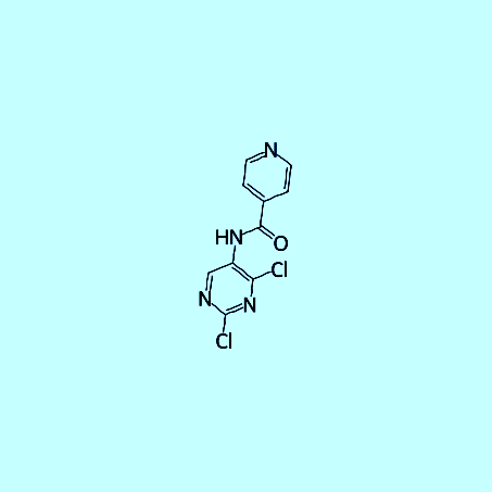 O=C(Nc1cnc(Cl)nc1Cl)c1ccncc1